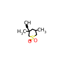 C#CC1(C)CC(C)CS(=O)(=O)C1